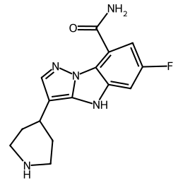 NC(=O)c1cc(F)cc2[nH]c3c(C4CCNCC4)cnn3c12